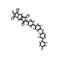 Cc1ccc(-c2ccc(Cc3ccc(-c4ccc(N5C(=O)C6C7CCC(C8C(=O)N(C)C(=O)C78)C6C5=O)cc4)cc3)cc2)cc1